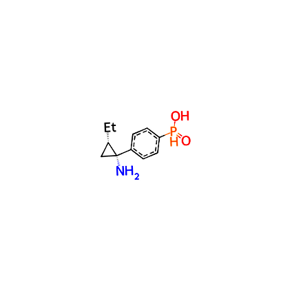 CC[C@H]1C[C@]1(N)c1ccc([PH](=O)O)cc1